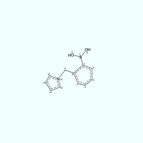 OB(O)c1ccccc1Cn1cccc1